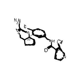 NC1=N[C@@]2(c3cc(NC(=O)c4ccncc4Cl)ccc3F)CCCC2CS1